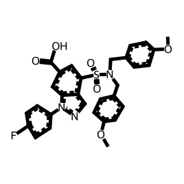 COc1ccc(CN(Cc2ccc(OC)cc2)S(=O)(=O)c2cc(C(=O)O)cc3c2cnn3-c2ccc(F)cc2)cc1